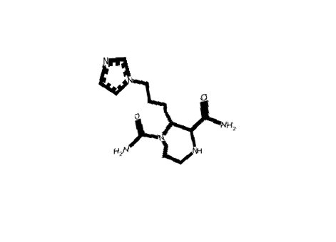 NC(=O)C1NCCN(C(N)=O)C1CCCn1ccnc1